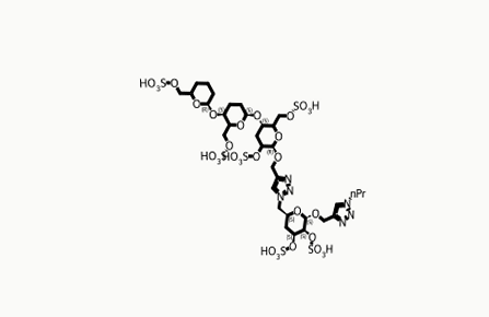 CCCn1cc(CO[C@H]2O[C@H](Cn3cc(CO[C@@H]4OC(COS(=O)(=O)O)[C@@H](O[C@@H]5CC[C@H](O[C@@H]6CCCC(COS(=O)(=O)O)O6)C(COS(=O)(=O)O)O5)CC4OS(=O)(=O)O)nn3)C[C@H](OS(=O)(=O)O)[C@@H]2OS(=O)(=O)O)nn1